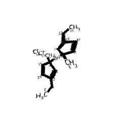 CCC1=C[C](C)([Zr+2][C]2(C)C=CC(CC)=C2)C=C1.[Cl-].[Cl-]